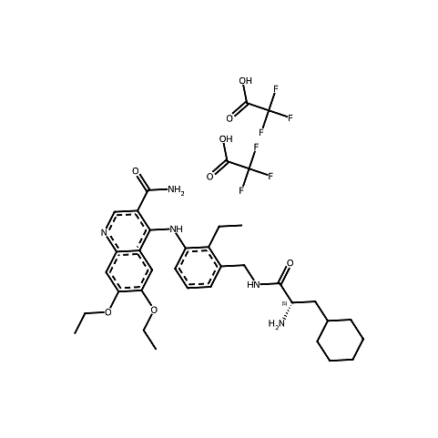 CCOc1cc2ncc(C(N)=O)c(Nc3cccc(CNC(=O)[C@@H](N)CC4CCCCC4)c3CC)c2cc1OCC.O=C(O)C(F)(F)F.O=C(O)C(F)(F)F